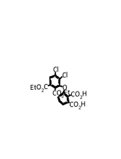 CCOC(=O)c1cc(Cl)c(Cl)c(Oc2cccc(C(=O)O)c2C(=O)O)c1C(=O)OCC